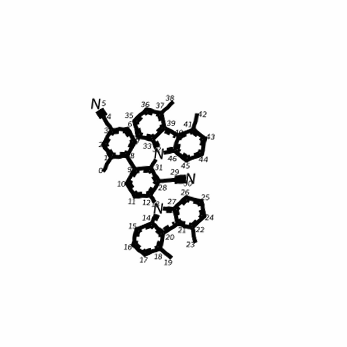 Cc1cc(C#N)ccc1-c1ccc(-n2c3cccc(C)c3c3c(C)cccc32)c(C#N)c1-n1c2cccc(C)c2c2c(C)cccc21